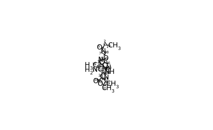 C[C@@H]1C[C@@H]1C(=O)N1CC(Oc2ncc(C(C)(C)N)c3cc(Nc4ccc5c(n4)[C@@H](C)[C@H](C)OC5=O)ncc23)C1